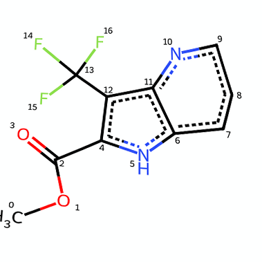 COC(=O)c1[nH]c2cccnc2c1C(F)(F)F